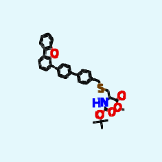 COC(=O)C(CSCc1ccc(-c2ccc(-c3cccc4c3oc3ccccc34)cc2)cc1)NC(=O)OC(C)(C)C